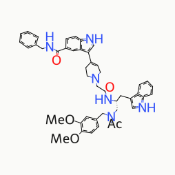 COc1ccc(CN(C[C@@H](Cc2c[nH]c3ccccc23)NC(=O)CN2CC=C(c3c[nH]c4ccc(C(=O)NCc5ccccc5)cc34)CC2)C(C)=O)cc1OC